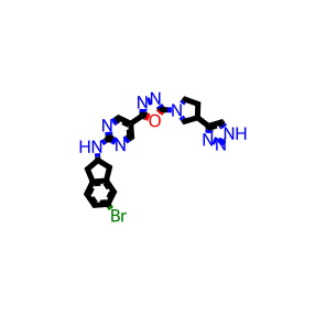 Brc1ccc2c(c1)CC(Nc1ncc(-c3nnc(N4CCC(c5c[nH]nn5)C4)o3)cn1)C2